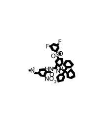 CN(C)Cc1ccc(C(=O)Nc2nn(C(c3ccccc3)(c3ccccc3)c3ccccc3)c3ccc(S(=O)(=O)c4cc(F)cc(F)c4)cc23)c([N+](=O)[O-])c1